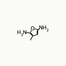 Cc1cc(N)oc1N